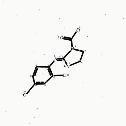 CCC(=O)N1CCN/C1=N\c1ccc(Cl)cc1Cl